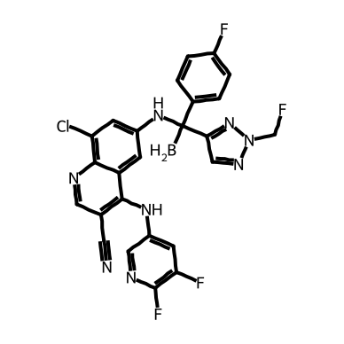 BC(Nc1cc(Cl)c2ncc(C#N)c(Nc3cnc(F)c(F)c3)c2c1)(c1ccc(F)cc1)c1cnn(CF)n1